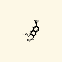 COc1cc2ccc(C3CO3)cc2cc1OC